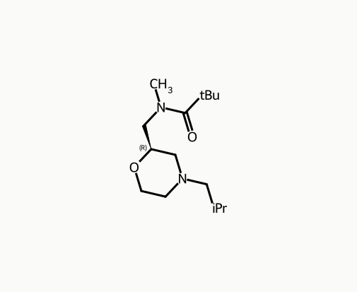 CC(C)CN1CCO[C@@H](CN(C)C(=O)C(C)(C)C)C1